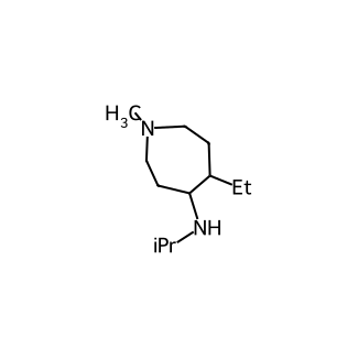 CCC1CCN(C)CCC1NC(C)C